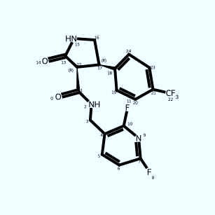 O=C(NCc1ccc(F)nc1F)[C@H]1C(=O)NC[C@H]1c1ccc(C(F)(F)F)cc1